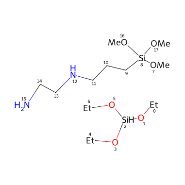 CCO[SiH](OCC)OCC.CO[Si](CCCNCCN)(OC)OC